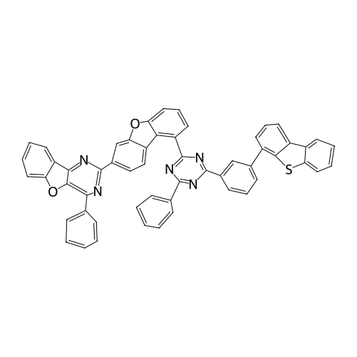 c1ccc(-c2nc(-c3cccc(-c4cccc5c4sc4ccccc45)c3)nc(-c3cccc4oc5cc(-c6nc(-c7ccccc7)c7oc8ccccc8c7n6)ccc5c34)n2)cc1